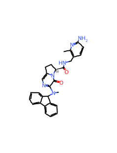 Cc1nc(N)ccc1CNC(=O)[C@@H]1CCc2cnc(N(C)C3c4ccccc4-c4ccccc43)c(=O)n21